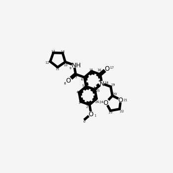 COc1ccc2c(C(=O)NC3CCCC3)cc(=O)n(CC3OCCO3)c2c1